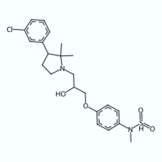 CN(c1ccc(OCC(O)CN2CCC(c3cccc(Cl)c3)C2(C)C)cc1)[SH](=O)=O